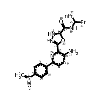 C=[SH](=O)c1ccc(-c2cnc(N)c(C3=NNC(C(=O)NC(CC)CCC)O3)n2)cc1